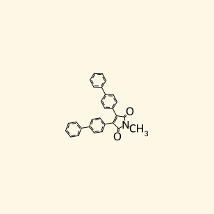 CN1C(=O)C(c2ccc(-c3ccccc3)cc2)=C(c2ccc(-c3ccccc3)cc2)C1=O